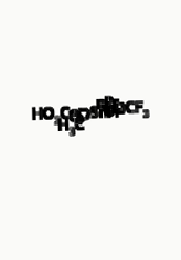 CCCC(CCC)(COc1ccc(C(F)(F)F)cc1)CSc1ccc(OCC(=O)O)c(C)c1